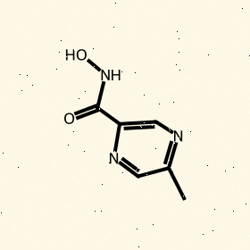 Cc1cnc(C(=O)NO)cn1